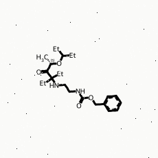 CCC(CC)O[C@@H](C)C(=O)C(CC)(CC)NCCNC(=O)OCc1ccccc1